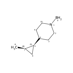 BN1CCC([C@H]2C[C@H]2C)CC1